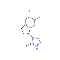 Fc1cc2c(cc1F)C(n1cc[nH]c1=S)CC2